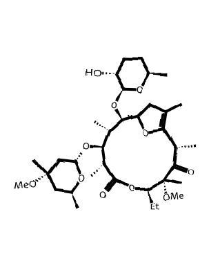 CC[C@H]1OC(=O)[C@H](C)[C@@H](O[C@H]2C[C@@](C)(OC)C[C@H](C)O2)[C@H](C)[C@@H](O[C@@H]2O[C@H](C)CC[C@H]2O)[C@@]2(C)CC(C)=C(O2)[C@H](C)C(=O)[C@]1(C)OC